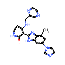 Cc1cc(-n2ccnc2)cc2[nH]c(-c3c(NCc4cnccn4)cc[nH]c3=O)nc12